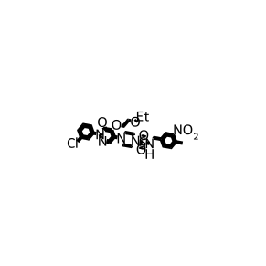 CCOCCOc1c(N2CCN(S(=O)(=O)NCc3ccc(C)c([N+](=O)[O-])c3)CC2)cnn(-c2cccc(Cl)c2)c1=O